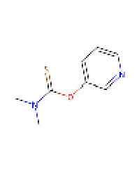 CN(C)C(=S)Oc1cccnc1